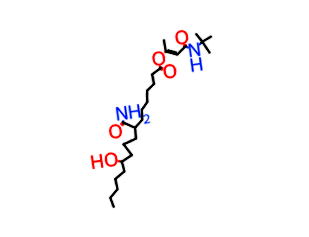 CCCCCC(O)CCCC(CCCCCCC(=O)OC(C)=CC(=O)NC(C)(C)C)C(N)=O